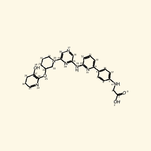 O=C(O)CNc1ccc(-c2cccc(Nc3cncc(N4CCCC(OC5=C(O)CCC=N5)C4)n3)n2)cc1